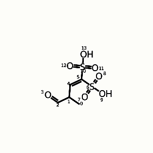 CC(C=O)C=C(S(=O)(=O)O)S(=O)(=O)O